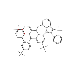 CC(C)(C)C1=CC2C3C(=C1)N(c1ccc(C(C)(C)C)cc1C1C=CC=CC1)C1CC(C(C)(C)C)CC=C1C3CC1CC=Cc3c4c(n2c31)-c1ccccc1C4(C)C